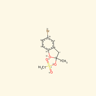 CC1(OS(C)(=O)=O)Cc2cc(Br)ccc2O1